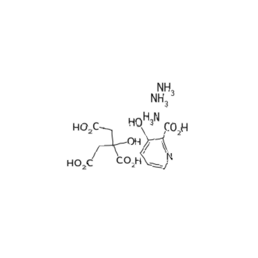 N.N.N.O=C(O)CC(O)(CC(=O)O)C(=O)O.O=C(O)c1ncccc1O